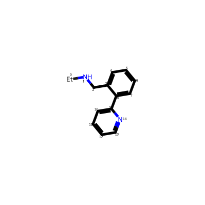 CCNCc1ccccc1-c1ccccn1